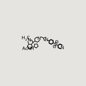 CC(=O)N[C@@H]1CCC[C@H]1C1(C2CCN(CC3CN(c4ccc(S(=O)(=O)c5ccncc5)cc4)C3)CC2)CN(C)CC2C=CC=CC21